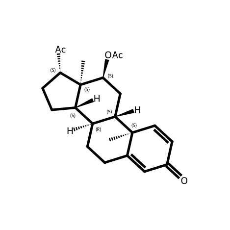 CC(=O)O[C@H]1C[C@H]2[C@@H](CCC3=CC(=O)C=C[C@@]32C)[C@@H]2CC[C@H](C(C)=O)[C@@]12C